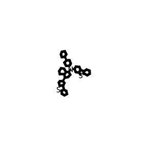 c1ccc(-c2ccc(N(c3ccc4c(c3)sc3ccccc34)c3ccc(-c4ccc5sc6ccccc6c5c4)c4ccccc34)cc2)cc1